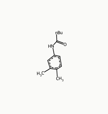 CCCCC(=O)Nc1ccc(C)c(C)c1